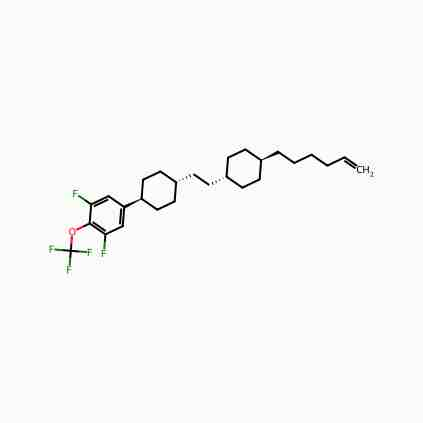 C=CCCCC[C@H]1CC[C@H](CC[C@H]2CC[C@H](c3cc(F)c(OC(F)(F)F)c(F)c3)CC2)CC1